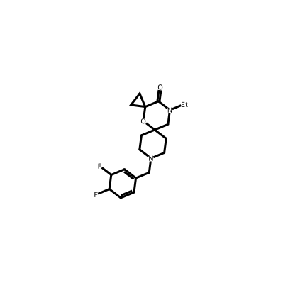 CCN1CC2(CCN(CC3=CC(F)C(F)C=C3)CC2)OC2(CC2)C1=O